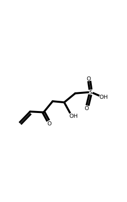 C=CC(=O)CC(O)CS(=O)(=O)O